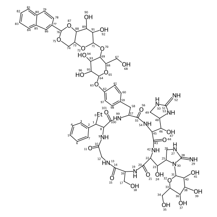 CCC(c1ccccc1)C1NC(=O)CNC(=O)C(CO)NC(=O)C(C(O)C2CNC(=N)N2C2OC(CO)C(O)C(O)C2O)NC(=O)C(C(O)C2CNC(=N)N2)NC(=O)C(Cc2ccc(OC3OC(CO)C(OC4OC5COC(c6ccc7ccccc7c6)OC5C(O)C4O)C(O)C3O)cc2)NC1=O